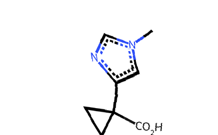 Cn1cnc(C2(C(=O)O)CC2)c1